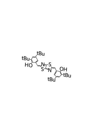 CC(C)(C)c1cc(C=c2nc3sc(=Cc4cc(C(C)(C)C)cc(C(C)(C)C)c4O)nc3s2)c(O)c(C(C)(C)C)c1